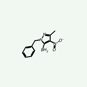 Bc1c([N+](=O)[O-])c(C)nn1Cc1ccccc1